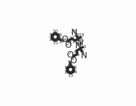 CC(C#N)(CCC(=O)OCc1ccccc1)N=NC(C)(C#N)CCC(=O)OCc1ccccc1